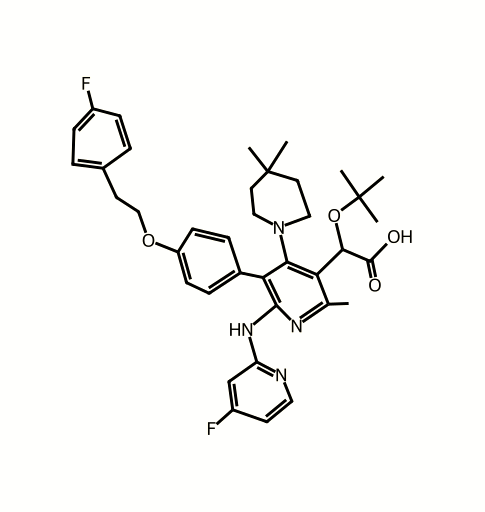 Cc1nc(Nc2cc(F)ccn2)c(-c2ccc(OCCc3ccc(F)cc3)cc2)c(N2CCC(C)(C)CC2)c1C(OC(C)(C)C)C(=O)O